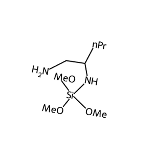 CCCC(CN)N[Si](OC)(OC)OC